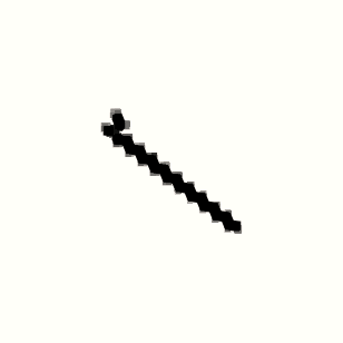 CCCCCCCCCCCCCCCCCCCCP(C)CC